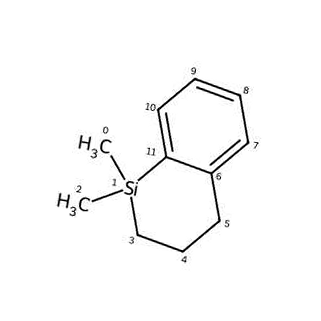 C[Si]1(C)CCCc2ccccc21